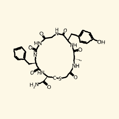 C[C@@H]1NC(=O)CSC[C@@H](C(N)=O)NC(=O)[C@@H](Cc2ccccc2)NC(=O)NC(=O)CNC(=O)C(Cc2ccc(O)cc2)NC1=O